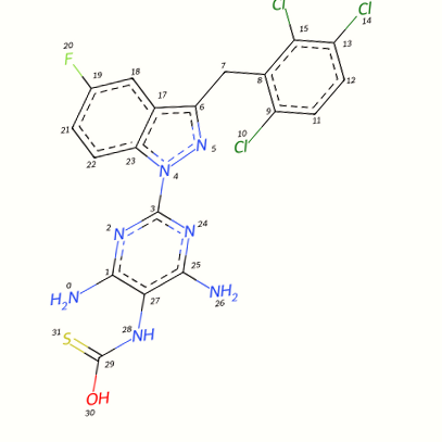 Nc1nc(-n2nc(Cc3c(Cl)ccc(Cl)c3Cl)c3cc(F)ccc32)nc(N)c1NC(O)=S